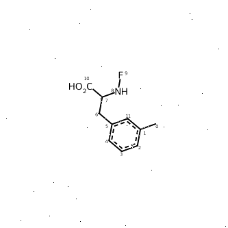 Cc1cccc(CC(NF)C(=O)O)c1